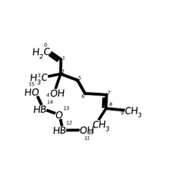 C=CC(C)(O)CCC=C(C)C.OBOBO